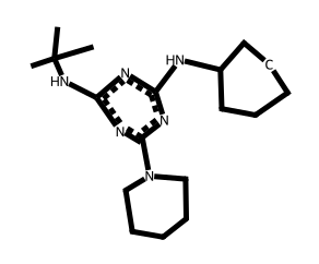 CC(C)(C)Nc1nc(NC2CCCCC2)nc(N2CCCCC2)n1